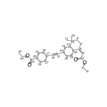 CCOC(=O)/C=C1/CCC(C)(C)c2cc(C#Cc3ccc(C(=O)OCC)cc3)ccc21